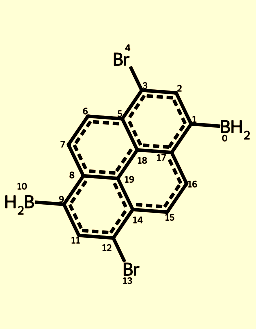 Bc1cc(Br)c2ccc3c(B)cc(Br)c4ccc1c2c34